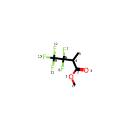 COC(=O)C(C)C(F)(F)C(F)(F)F